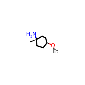 CCO[C@H]1CC[C@](C)(N)CC1